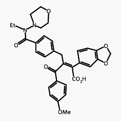 CCN(C(=O)c1ccc(CC(C(=O)c2ccc(OC)cc2)=C(C(=O)O)c2ccc3c(c2)OCO3)cc1)N1CCOCC1